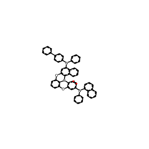 c1ccc(-c2ccc(N(c3ccccc3)c3cc4c(c5ccccc35)B3c5c(cccc5Oc5cc(N(c6ccccc6)c6cccc7ccccc67)c6ccccc6c53)O4)cc2)cc1